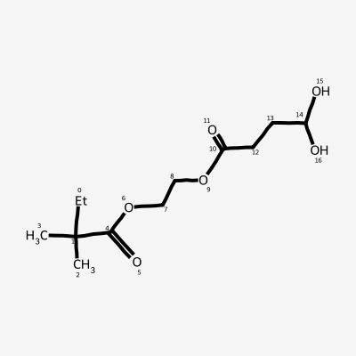 CCC(C)(C)C(=O)OCCOC(=O)CCC(O)O